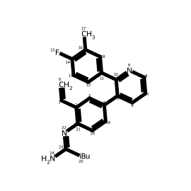 C=Cc1cc(-c2cccnc2-c2ccc(F)c(C)c2)ccc1/N=C(/N)C(C)CC